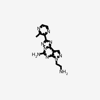 Cc1nccnc1-c1nc2c3cnn(CCN)c3nc(N)n2n1